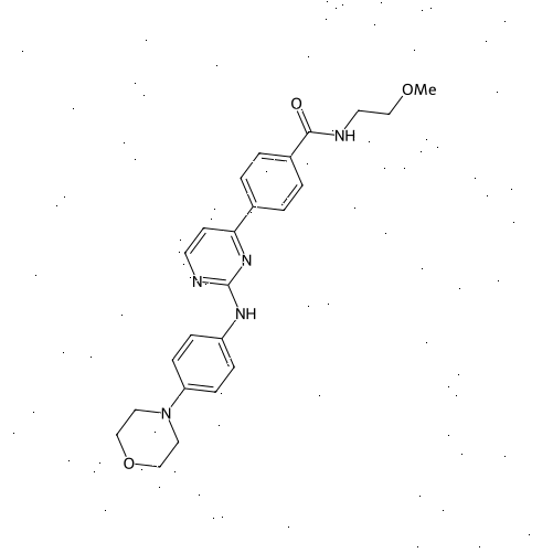 COCCNC(=O)c1ccc(-c2ccnc(Nc3ccc(N4CCOCC4)cc3)n2)cc1